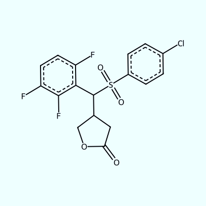 O=C1CC(C(c2c(F)ccc(F)c2F)S(=O)(=O)c2ccc(Cl)cc2)CO1